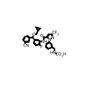 N#Cc1cccc(C(OCC2CC2)c2ccc(F)c(NC(=O)c3cc(C(F)(F)F)nn3-c3cccc(CNC(=O)O)c3)c2)c1